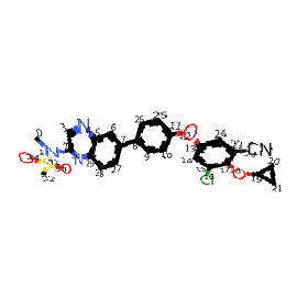 CN(c1cnc2cc(-c3ccc(Oc4cc(Cl)c(OC5CC5)c(C#N)c4)cc3)ccc2n1)S(C)(=O)=O